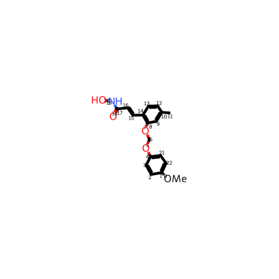 COc1ccc(OCOc2cc(C)ccc2/C=C/C(=O)NO)cc1